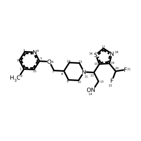 Cc1ccnc(OCC2CCN(C(CN=O)c3scnc3C(F)F)CC2)c1